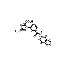 CN(C(=O)c1cccc(-n2nc(C(F)(F)F)cc2C(=O)O)c1)c1ccc2c(c1)OCO2